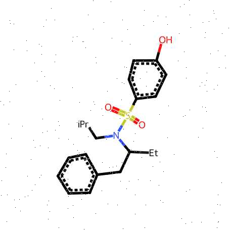 CC[C](Cc1ccccc1)N(CC(C)C)S(=O)(=O)c1ccc(O)cc1